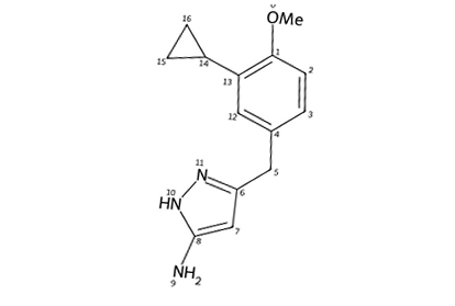 COc1ccc(Cc2cc(N)[nH]n2)cc1C1CC1